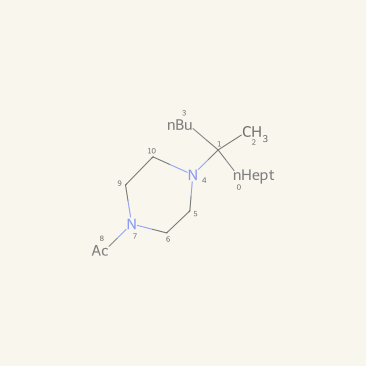 CCCCCCCC(C)(CCCC)N1CCN(C(C)=O)CC1